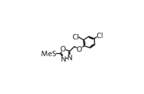 CSc1nnc(COc2ccc(Cl)cc2Cl)o1